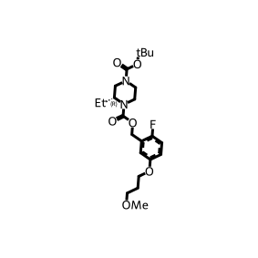 CC[C@@H]1CN(C(=O)OC(C)(C)C)CCN1C(=O)OCc1cc(OCCCOC)ccc1F